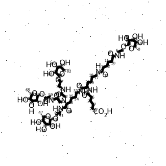 C[C@@H]1O[C@@H](OCCNC(=O)CCCCC(=O)NCCCCC(NC(=O)CCCCC(=O)O)C(=O)NCCCCC(C(=O)NCCO[C@@H]2O[C@@H](C)[C@@H](O)[C@@H](O)[C@@H]2O)N(CC(=O)NCCO[C@@H]2O[C@@H](C)[C@@H](O)[C@@H](O)[C@@H]2O)CC(=O)NCCO[C@@H]2O[C@@H](C)[C@@H](O)[C@@H](O)[C@@H]2O)[C@@H](O)[C@H](O)[C@@H]1O